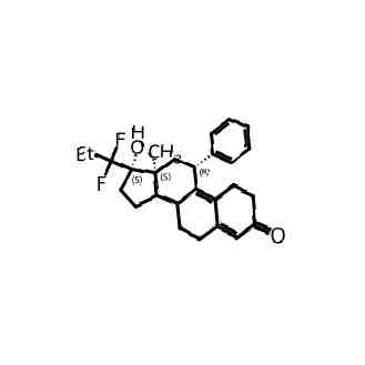 CCC(F)(F)[C@]1(O)CCC2C3CCC4=CC(=O)CCC4=C3[C@@H](c3ccccc3)C[C@@]21C